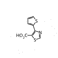 O=C(O)c1scnc1-c1cccs1